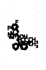 CC(C)(C)c1cccc(C2(NC[C@@H](O)[C@H](Cc3cc(F)cc(F)c3)n3ccnn3)CCCCC2)c1